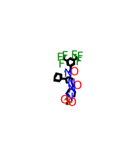 CN(C(=O)c1cc(C(F)(F)F)cc(C(F)(F)F)c1)C1CN(C(=O)N2CCN(S(C)(=O)=O)CC2)CC1c1ccccc1